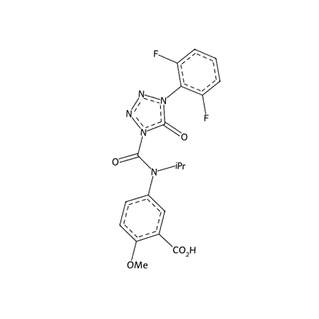 COc1ccc(N(C(=O)n2nnn(-c3c(F)cccc3F)c2=O)C(C)C)cc1C(=O)O